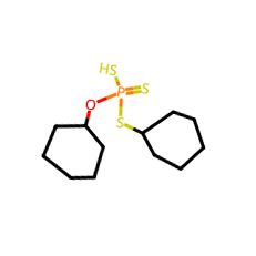 S=P(S)(OC1CCCCC1)SC1CCCCC1